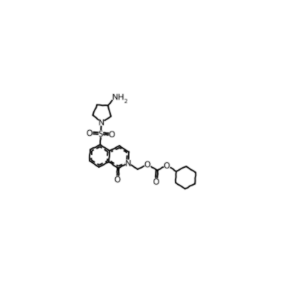 NC1CCN(S(=O)(=O)c2cccc3c(=O)n(COC(=O)OC4CCCCC4)ccc23)C1